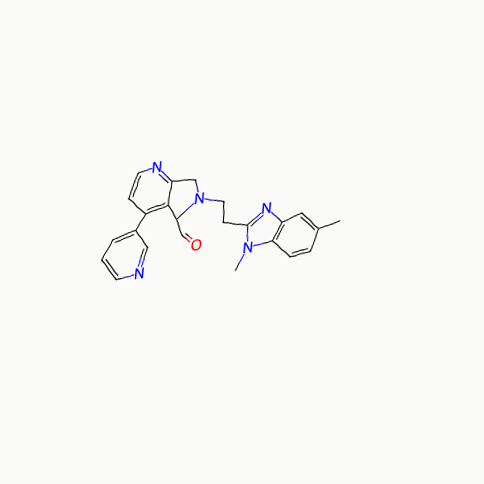 Cc1ccc2c(c1)nc(CCN1Cc3nccc(-c4cccnc4)c3C1C=O)n2C